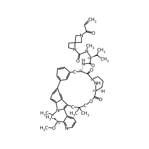 C=CC(=O)N1CC2(CCN2C(=O)N(C)[C@H](C(=O)N[C@H]2Cc3cccc(c3)-c3ccc4c(c3)c(c(-c3cccnc3[C@H](C)OC)n4CC)CC(C)(C)COC(=O)[C@@H]3CCCN(N3)C2=O)C(C)C)C1